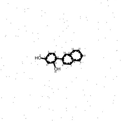 Oc1ccc(-c2ccc3ccccc3c2)c(O)c1